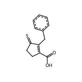 O=C(O)C1=C(Cc2ccccc2)C(=S)CC1